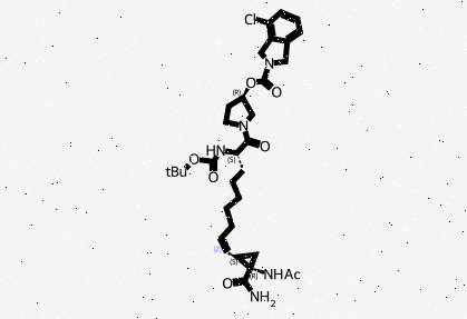 CC(=O)N[C@]1(C(N)=O)C[C@H]1/C=C\CCCCC[C@H](NC(=O)OC(C)(C)C)C(=O)N1CC[C@@H](OC(=O)N2Cc3cccc(Cl)c3C2)C1